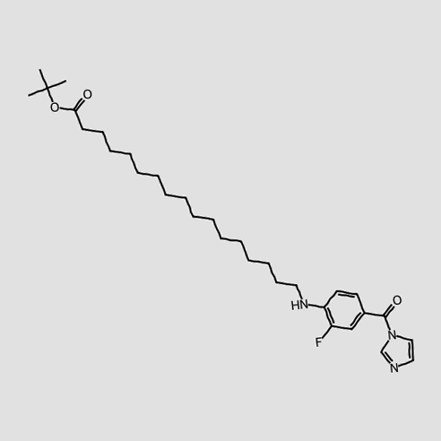 CC(C)(C)OC(=O)CCCCCCCCCCCCCCCCNc1ccc(C(=O)n2ccnc2)cc1F